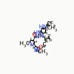 Cc1cc2cc(n1)-c1cnn(C)c1OCCC[C@@H](C1CC1)CN1/C(=N/C2=O)Nc2cc(N[C@@H](C)C(F)(F)F)ccc21